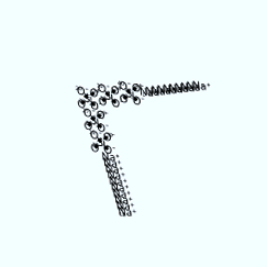 [Na+].[Na+].[Na+].[Na+].[Na+].[Na+].[Na+].[Na+].[Na+].[Na+].[Na+].[Na+].[Na+].[Na+].[Na+].[Na+].[Na+].[Na+].[Na+].[Na+].[O-][Si]([O-])([O-])[O-].[O-][Si]([O-])([O-])[O-].[O-][Si]([O-])([O-])[O-].[O-][Si]([O-])([O-])[O-].[O-][Si]([O-])([O-])[O-]